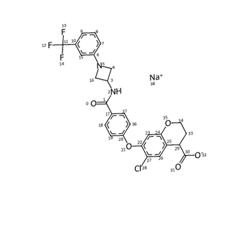 O=C(NC1CN(c2cccc(C(F)(F)F)c2)C1)c1ccc(Oc2cc3c(cc2Cl)C(C(=O)[O-])CCO3)cc1.[Na+]